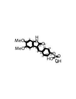 COc1cc2c(cc1OC)C(=Cc1ccc(OP(=O)(O)O)cc1)C(=O)N2